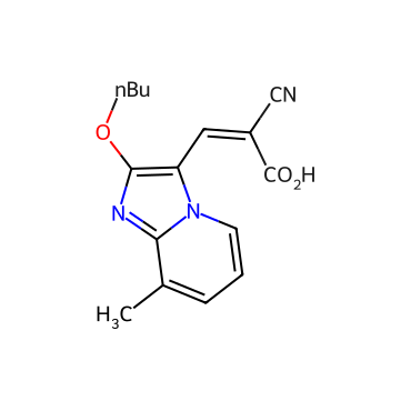 CCCCOc1nc2c(C)cccn2c1C=C(C#N)C(=O)O